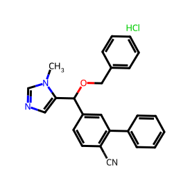 Cl.Cn1cncc1C(OCc1ccccc1)c1ccc(C#N)c(-c2ccccc2)c1